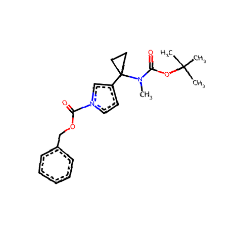 CN(C(=O)OC(C)(C)C)C1(c2ccn(C(=O)OCc3ccccc3)c2)CC1